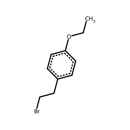 CCOc1ccc(CCBr)cc1